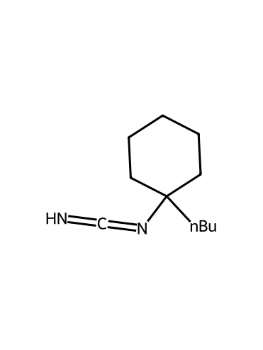 CCCCC1(N=C=N)CCCCC1